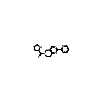 O=C(C1CCCN1)N1CCc2nc(-c3ccccn3)ncc2C1